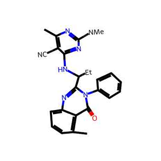 CCC(Nc1nc(NC)nc(C)c1C#N)c1nc2cccc(C)c2c(=O)n1-c1ccccc1